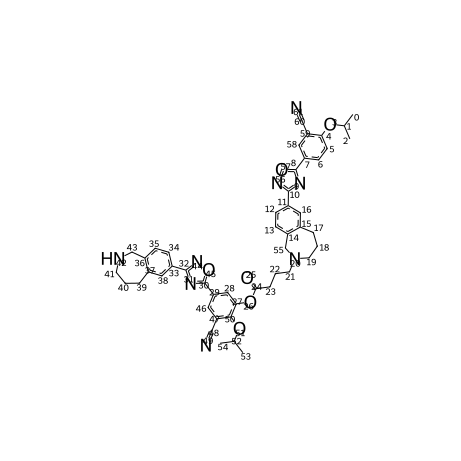 CC(C)Oc1ccc(-c2nc(-c3ccc4c(c3)CCCN(CCCC(=O)Oc3cc(-c5nc(-c6ccc7c(c6)CCCNC7)no5)cc(C#N)c3OC(C)C)C4)no2)cc1C#N